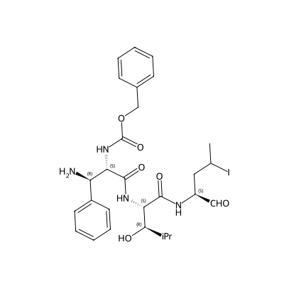 CC(I)C[C@@H](C=O)NC(=O)[C@@H](NC(=O)[C@@H](NC(=O)OCc1ccccc1)[C@H](N)c1ccccc1)[C@H](O)C(C)C